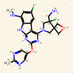 CNc1cc(F)cc2c1[nH]c1nc(Oc3cnc(C)nc3)nc(N3CC(F)(CN)C4(COC4)C3)c12